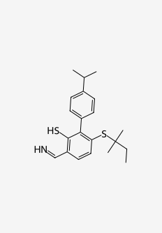 CCC(C)(C)Sc1ccc(C=N)c(S)c1-c1ccc(C(C)C)cc1